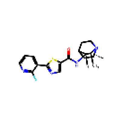 C[C@H]1[C@H](NC(=O)c2cnc(-c3cccnc3F)s2)C2CCN1CC2